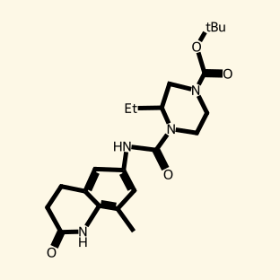 CCC1CN(C(=O)OC(C)(C)C)CCN1C(=O)Nc1cc(C)c2c(c1)CCC(=O)N2